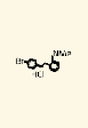 CNCc1ccccc1CCc1ccc(Br)cc1.Cl